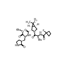 CCC(C)C(NC(=O)C1(F)CCC1)C(=O)N1C[C@H]2[C@@H]([C@H]1C(=O)NN(C[C@@H]1CCNC1=O)C(=O)OC(C)(C)C)C2(C)C